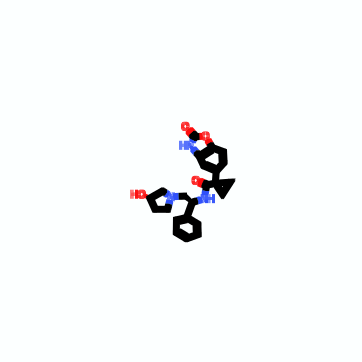 O=C(N[C@H](CN1CC[C@H](O)C1)c1ccccc1)C1(c2ccc3oc(=O)[nH]c3c2)CC1